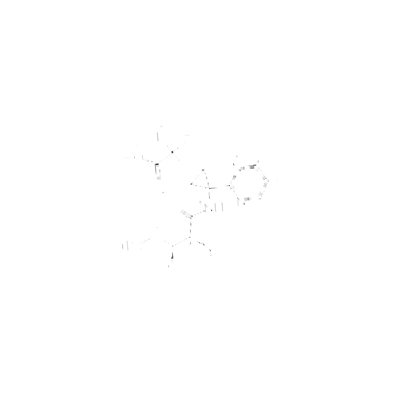 C[C@@H](OC(C)(C)C)[C@H](N)C(=O)NC1(c2ncccn2)CC1.O=C(O)C(F)(F)F